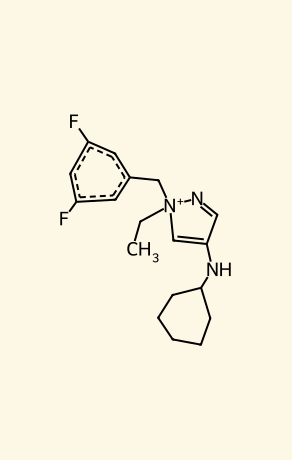 CC[N+]1(Cc2cc(F)cc(F)c2)C=C(NC2CCCCC2)C=N1